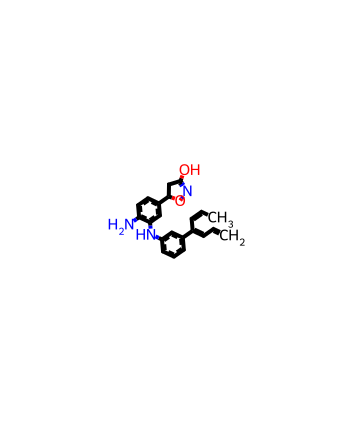 C=C/C=C(\C=C/C)c1cccc(Nc2cc(C3CC(O)=NO3)ccc2N)c1